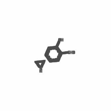 C1CN1.O=Cc1ccccc1O